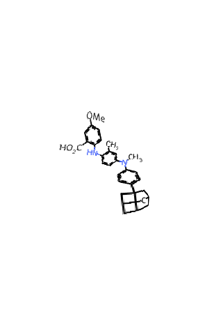 COc1ccc(Nc2ccc(N(C)c3ccc(C45CC6CC7CC(C4)C75C6)cc3)cc2C)c(C(=O)O)c1